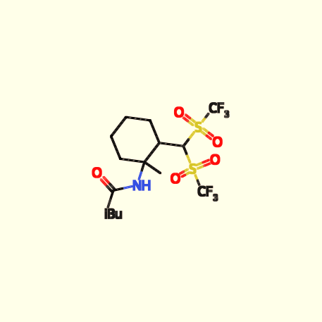 CCC(C)C(=O)NC1(C)CCCCC1C(S(=O)(=O)C(F)(F)F)S(=O)(=O)C(F)(F)F